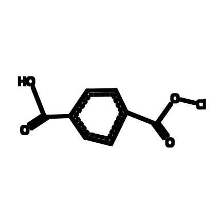 O=C(O)c1ccc(C(=O)OCl)cc1